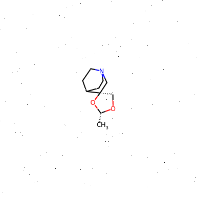 C[C@H]1OC[C@]2(CN3CCC2CC3)O1